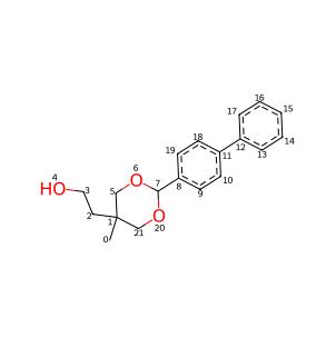 CC1(CCO)COC(c2ccc(-c3ccccc3)cc2)OC1